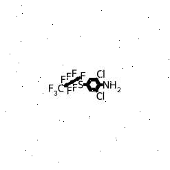 Nc1c(Cl)cc(SC(F)(F)C(F)(F)C(F)(F)C(F)(F)F)cc1Cl